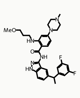 COCCCNc1cc(N2CCN(C)CC2)ccc1C(=O)Nc1n[nH]c2ccc(C(C)c3cc(F)cc(F)c3)cc12